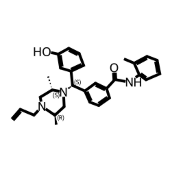 C=CCN1C[C@H](C)N([C@H](c2cccc(O)c2)c2cccc(C(=O)Nc3ccccc3C)c2)C[C@H]1C